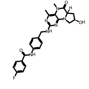 Cc1nc(NCc2ccc(NC(=O)c3ccc(F)cc3)cc2)nc2c1N(C)C(=O)[C@@H]1C[C@@H](O)CN21